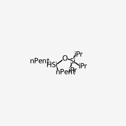 CCCCC[SiH](CCCCC)O[Si](C(C)C)(C(C)C)C(C)C